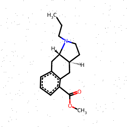 CCCN1CC[C@H]2Cc3c(cccc3C(=O)OC)C[C@@H]21